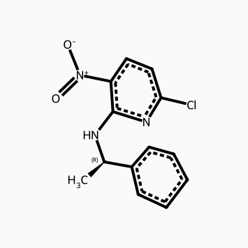 C[C@@H](Nc1nc(Cl)ccc1[N+](=O)[O-])c1ccccc1